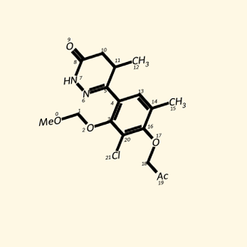 COCOc1c(C2=NNC(=O)CC2C)cc(C)c(OCC(C)=O)c1Cl